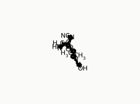 Cc1c(COc2cc(OCc3cncc(C#N)c3)c(CN(C)Cc3cn[nH]c3)cc2Cl)cccc1-c1cccc(OCCCN2CC[C@@H](O)C2)c1C